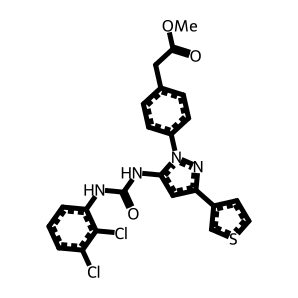 COC(=O)Cc1ccc(-n2nc(-c3ccsc3)cc2NC(=O)Nc2cccc(Cl)c2Cl)cc1